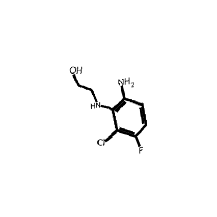 Nc1ccc(F)c(Cl)c1NCCO